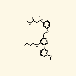 CCCCOc1cc(COc2cccc([C@@H](C)CC(=O)OC)c2)ccc1-c1cccc(OC)c1